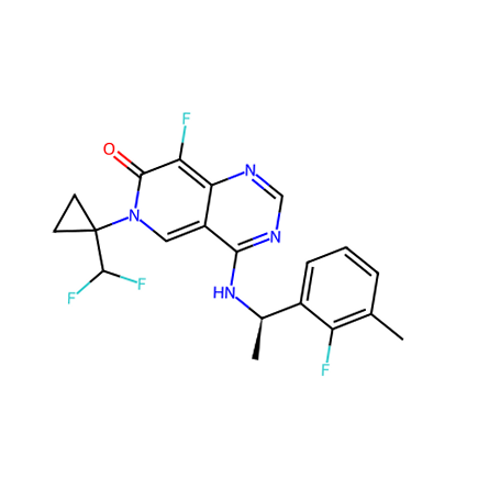 Cc1cccc([C@@H](C)Nc2ncnc3c(F)c(=O)n(C4(C(F)F)CC4)cc23)c1F